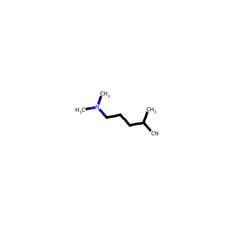 CC(C#N)CCCN(C)C